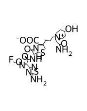 NC(=O)C[N+]1(C/C=C/C2=C(C(=O)[O-])N3C(=O)[C@@H](NC(=O)/C(=N\OCF)c4nsc(N)n4)[C@@H]3SC2)CCC(O)CC1